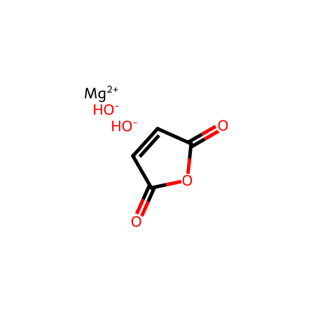 O=C1C=CC(=O)O1.[Mg+2].[OH-].[OH-]